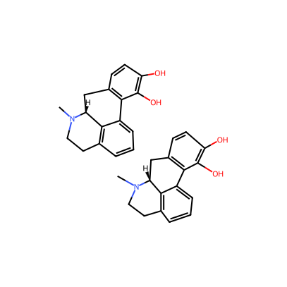 CN1CCc2cccc3c2[C@H]1Cc1ccc(O)c(O)c1-3.CN1CCc2cccc3c2[C@H]1Cc1ccc(O)c(O)c1-3